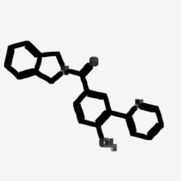 Cc1ccc(C(=O)N2Cc3ccccc3C2)cc1-c1ccccn1